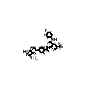 CC(Nc1ncc(C(F)(F)F)cc1C(=O)Nc1ccc(F)cc1)c1ccc(-c2cnc3[nH]nc(N)c3n2)cc1